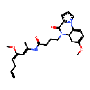 C=CC/C=C(\C=C(/C)NC(=O)CCCN1C(=O)c2cccn2C2=CC=C(OC)CC21)OC